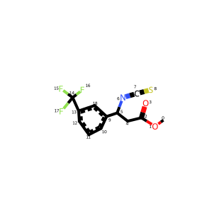 COC(=O)CC(N=C=S)c1cccc(C(F)(F)F)c1